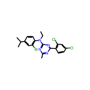 CCN(c1nc(C)nc(-c2ccc(Cl)cc2Cl)n1)c1ccc(C(C)C)cc1Br